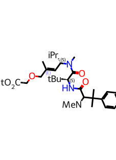 CCOC(=O)COC/C(C)=C/[C@H](C(C)C)N(C)C(=O)[C@@H](NC(=O)C(NC)C(C)(C)c1ccccc1)C(C)(C)C